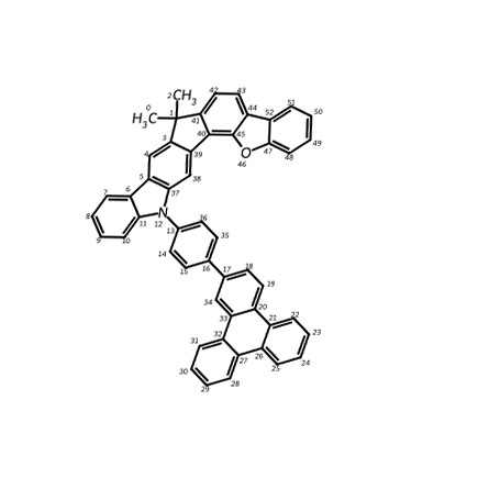 CC1(C)c2cc3c4ccccc4n(-c4ccc(-c5ccc6c7ccccc7c7ccccc7c6c5)cc4)c3cc2-c2c1ccc1c2oc2ccccc21